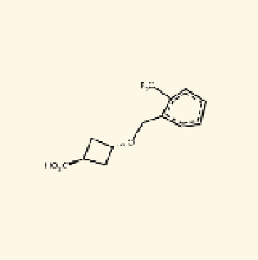 O=C(O)[C@H]1C[C@H](OCc2ccccc2C(F)(F)F)C1